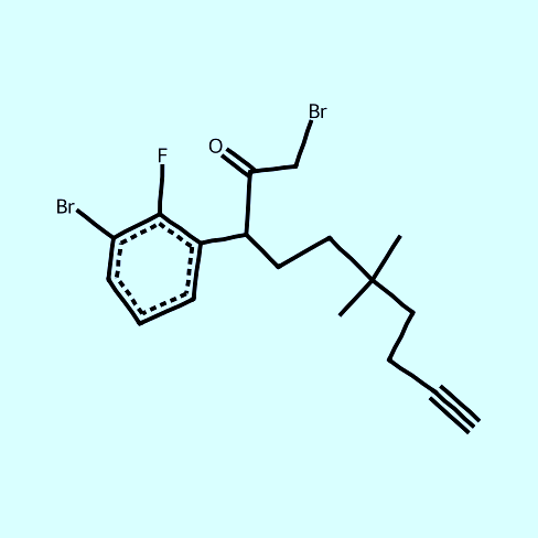 C#CCCC(C)(C)CCC(C(=O)CBr)c1cccc(Br)c1F